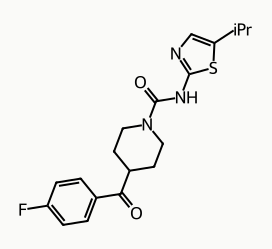 CC(C)c1cnc(NC(=O)N2CCC(C(=O)c3ccc(F)cc3)CC2)s1